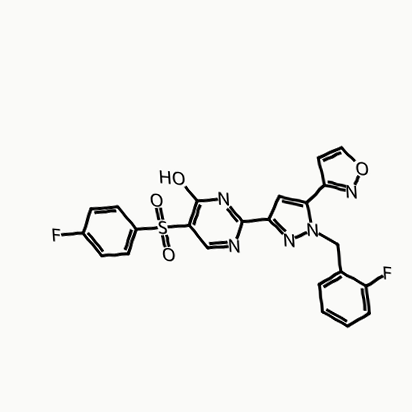 O=S(=O)(c1ccc(F)cc1)c1cnc(-c2cc(-c3ccon3)n(Cc3ccccc3F)n2)nc1O